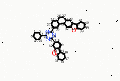 c1ccc(-c2nc(-c3ccc4c(c3)oc3ccccc34)nc(-c3ccc4ccc5cc6c(cc5c4c3)oc3ccccc36)n2)cc1